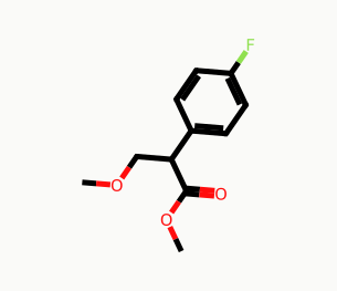 COCC(C(=O)OC)c1ccc(F)cc1